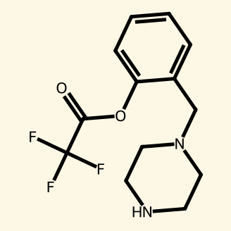 O=C(Oc1ccccc1CN1CCNCC1)C(F)(F)F